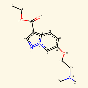 CCOC(=O)c1cnn2cc(OCCN(C)C)ccc12